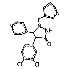 O=C1NN(Cc2cccnc2)C(c2ccncc2)C1c1ccc(Cl)c(Cl)c1